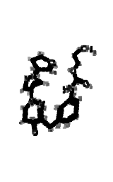 CCCOC(=O)Nc1cccc(Cc2nn(-c3cnn(C4CCOC4)c3)ccc2=O)c1